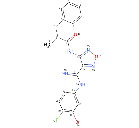 CC(Cc1ccccc1)C(=O)Nc1nonc1C(=N)Nc1ccc(F)c(Br)c1